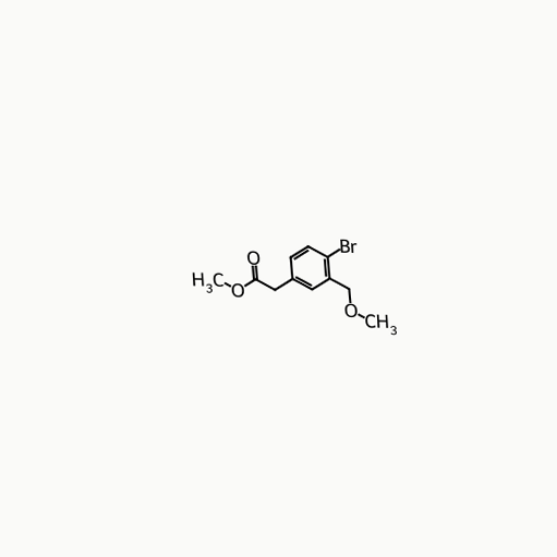 COCc1cc(CC(=O)OC)ccc1Br